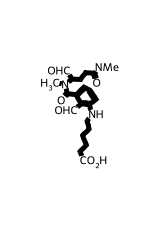 CNC(=O)CCC(C=O)N(C)C(=O)c1cccc(NCCCCCC(=O)O)c1C=O